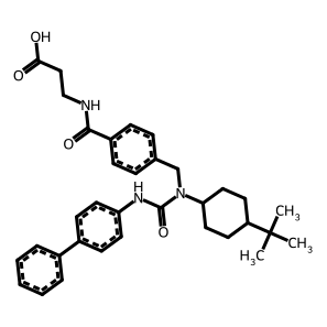 CC(C)(C)C1CCC(N(Cc2ccc(C(=O)NCCC(=O)O)cc2)C(=O)Nc2ccc(-c3ccccc3)cc2)CC1